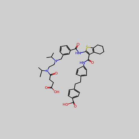 CC(C)N(CCN(C(=O)CCC(=O)O)C(C)C)Cc1cccc(C(=O)Nc2sc3c(c2C(=O)Nc2ccc(CCc4ccc(C(=O)O)cc4)cc2)CCCC3)c1